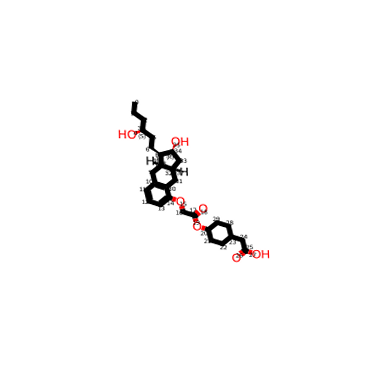 CCC[C@H](O)CC[C@@H]1[C@H]2Cc3cccc(OCC(=O)OC4CCC(CC(=O)O)CC4)c3C[C@H]2C[C@H]1O